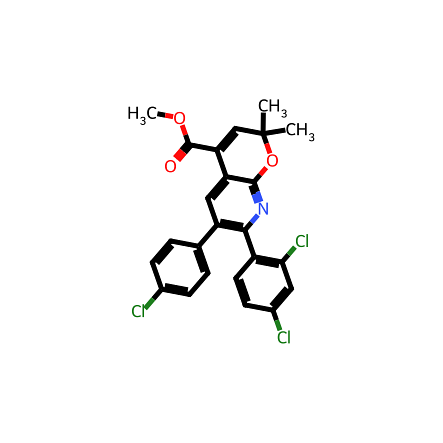 COC(=O)C1=CC(C)(C)Oc2nc(-c3ccc(Cl)cc3Cl)c(-c3ccc(Cl)cc3)cc21